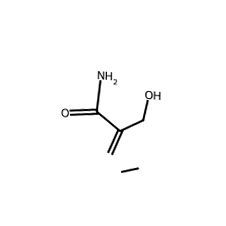 C=C(CO)C(N)=O.CC